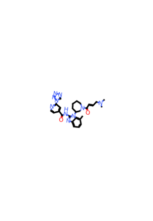 Cc1cccc2nc(NC(=O)c3ccnc(-n4cnnn4)c3)n(C3CCCCN(C(=O)C=CCN(C)C)C3)c12